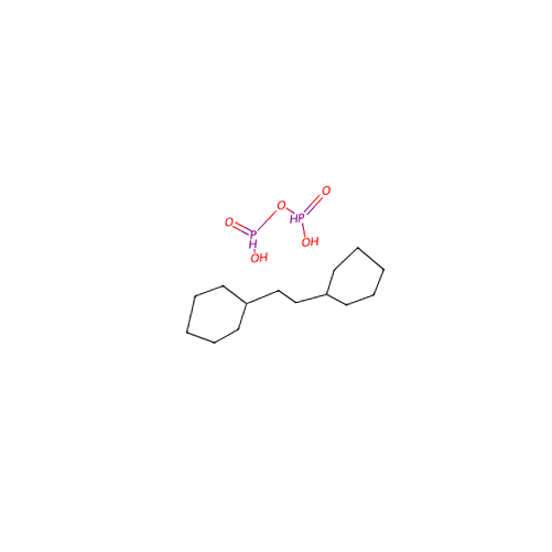 C1CCC(CCC2CCCCC2)CC1.O=[PH](O)O[PH](=O)O